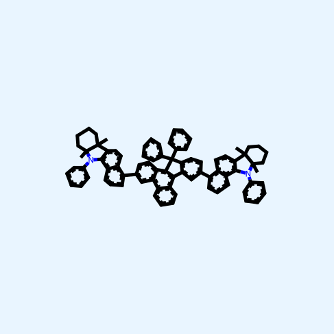 CC12CCCCC1(C)N(c1ccccc1)c1c2ccc2c(-c3ccc4c(c3)-c3c(c5ccc(-c6cccc7c8c(ccc67)C6(C)CCCCC6(C)N8c6ccccc6)cc5c5ccccc35)C4(c3ccccc3)c3ccccc3)cccc12